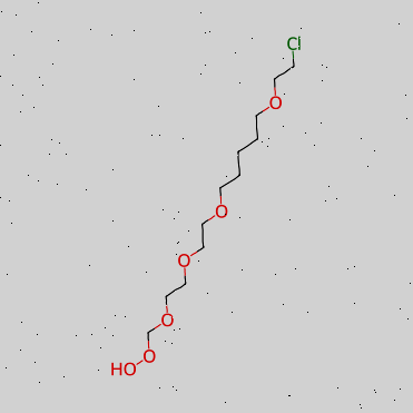 OOCOCCOCCOCCCCCOCCCl